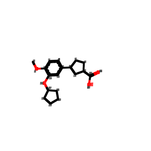 COc1ccc(C2CCC(C(=O)O)C2)cc1OC1CCCC1